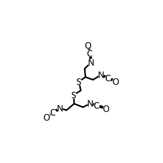 O=C=NCC(CN=C=O)SCSC(CN=C=O)CN=C=O